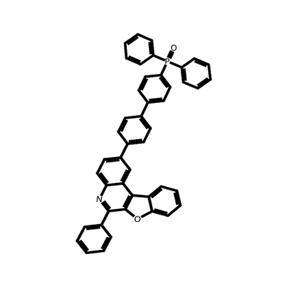 O=P(c1ccccc1)(c1ccccc1)c1ccc(-c2ccc(-c3ccc4nc(-c5ccccc5)c5oc6ccccc6c5c4c3)cc2)cc1